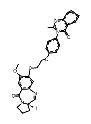 COc1cc2c(cc1OCCOc1ccc(-n3c(C)nc4ccccc4c3=O)cc1)N=C[C@@H]1CCCN1C2=O